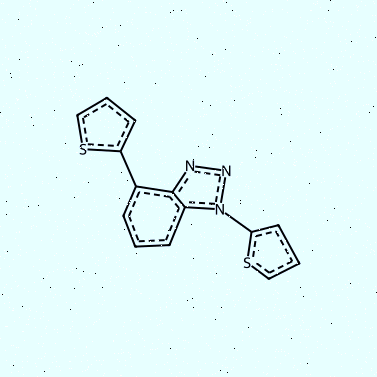 c1csc(-c2cccc3c2nnn3-c2cccs2)c1